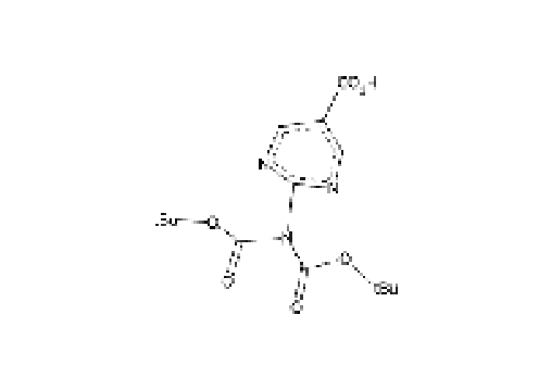 CC(C)(C)OC(=O)N(C(=O)OC(C)(C)C)c1ncc(C(=O)O)cn1